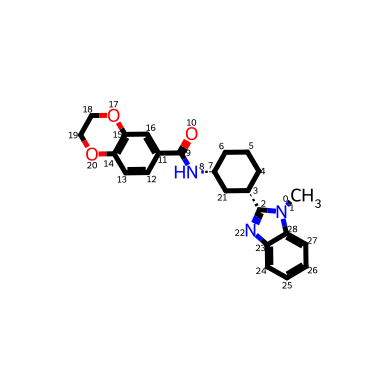 Cn1c([C@H]2CCC[C@@H](NC(=O)c3ccc4c(c3)OCCO4)C2)nc2ccccc21